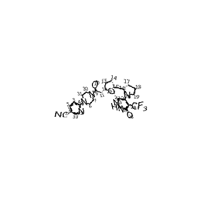 N#Cc1ccc(N2CCN(C(=O)C[C@@H]3CC[C@H]([C@@H]4CCCN4c4cn[nH]c(=O)c4C(F)(F)F)O3)CC2)nc1